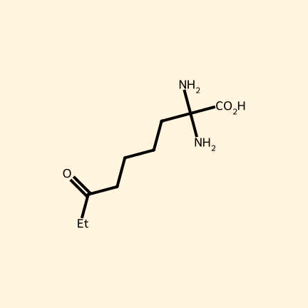 CCC(=O)CCCCC(N)(N)C(=O)O